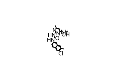 Cc1cc(NO)nc(NC(=O)Nc2ccc3cc(Cl)c(C)cc3c2)n1